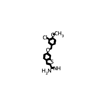 COc1ccc(COc2ccc3cc(C(=N)N)sc3c2)cc1Cl